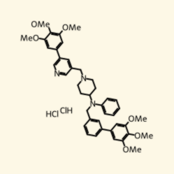 COc1cc(-c2cncc(CN3CCC(N(Cc4cccc(-c5cc(OC)c(OC)c(OC)c5)c4)c4ccccc4)CC3)c2)cc(OC)c1OC.Cl.Cl